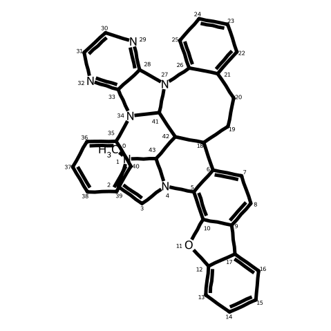 CN1C=CN2c3c(ccc4c3oc3ccccc34)C3CCc4ccccc4N4c5nccnc5N(c5ccccc5)C4C3C12